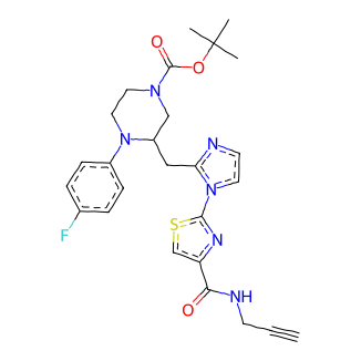 C#CCNC(=O)c1csc(-n2ccnc2CC2CN(C(=O)OC(C)(C)C)CCN2c2ccc(F)cc2)n1